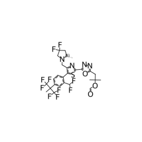 C[C@H]1CC(F)(F)CN1Cc1nc(-c2nnc(CC(C)(C)OC=O)o2)sc1-c1ccc(C(C)(C(F)(F)F)C(F)(F)F)cc1C(F)F